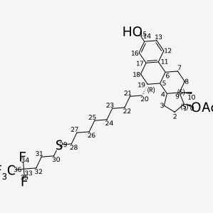 CC(=O)O[C@H]1CCC2C3C(CC[C@@]21C)c1ccc(O)cc1C[C@H]3CCCCCCCCCSCCCC(F)(F)C(F)(F)F